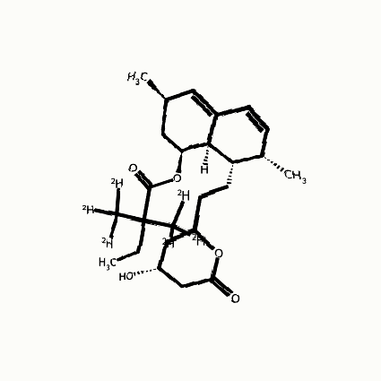 [2H]C([2H])([2H])C(CC)(C(=O)O[C@H]1C[C@@H](C)C=C2C=C[C@H](C)[C@H](CCC3C[C@@H](O)CC(=O)O3)[C@H]21)C([2H])([2H])[2H]